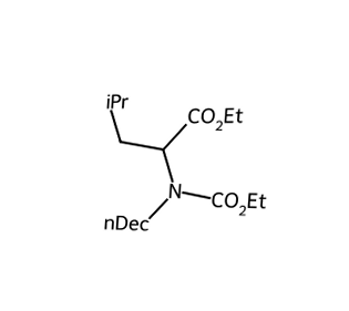 CCCCCCCCCCN(C(=O)OCC)C(CC(C)C)C(=O)OCC